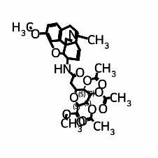 COC(=O)[C@H]1OC(CC(=O)NC2C=CC3C4Cc5ccc(OC)c6c5C3(CCN4C)C2O6)[C@H](OC(C)=O)[C@@H](OC(C)=O)[C@@H]1OC(C)=O